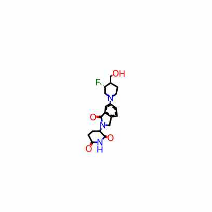 O=C1CCC(N2Cc3ccc(N4CC[C@H](CO)[C@@H](F)C4)cc3C2=O)C(=O)N1